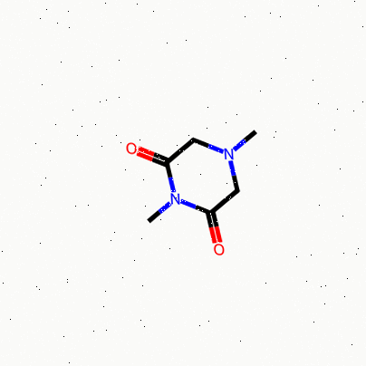 CN1CC(=O)N(C)C(=O)C1